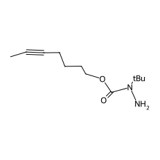 CC#CCCCCOC(=O)N(N)C(C)(C)C